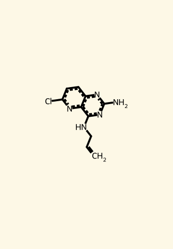 C=CCNc1nc(N)nc2ccc(Cl)nc12